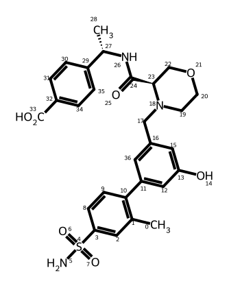 Cc1cc(S(N)(=O)=O)ccc1-c1cc(O)cc(CN2CCOC[C@@H]2C(=O)N[C@@H](C)c2ccc(C(=O)O)cc2)c1